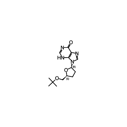 CC(C)(C)OC[C@@H]1CC[C@H](n2cnc3c(=O)nc[nH]c32)O1